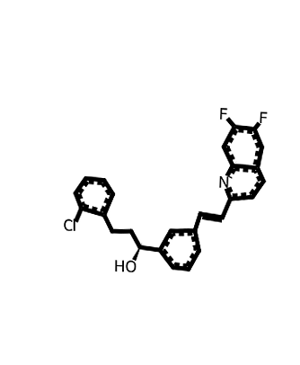 O[C@@H](CCc1ccccc1Cl)c1cccc(C=Cc2ccc3cc(F)c(F)cc3n2)c1